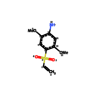 C=CS(=O)(=O)c1cc(OC)c([NH])cc1OC